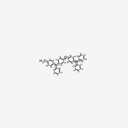 Cc1ccc(N(c2ccccc2)c2ccc(Oc3ccc(N(c4ccccc4)c4ccccc4)cc3)cc2)cc1